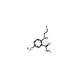 NC(=O)c1cc(C(F)(F)F)ccc1NCCF